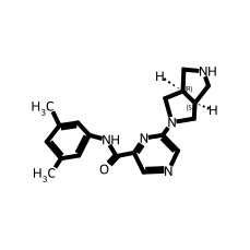 Cc1cc(C)cc(NC(=O)c2cncc(N3C[C@H]4CNC[C@H]4C3)n2)c1